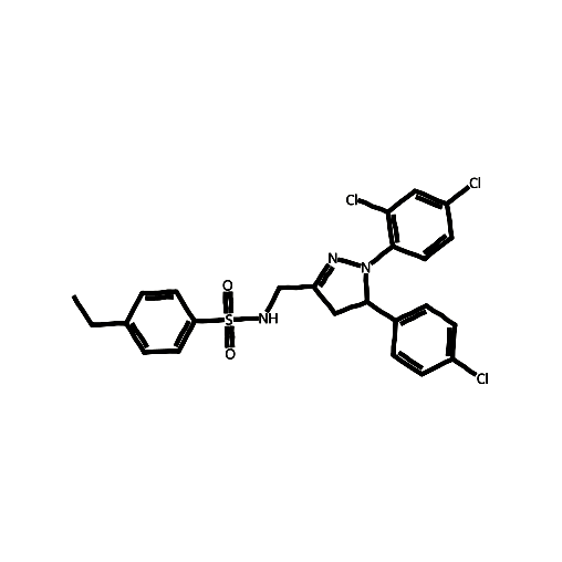 CCc1ccc(S(=O)(=O)NCC2=NN(c3ccc(Cl)cc3Cl)C(c3ccc(Cl)cc3)C2)cc1